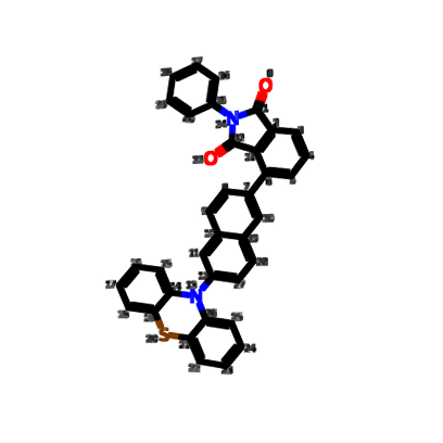 O=C1c2cccc(-c3ccc4cc(N5c6ccccc6Sc6ccccc65)ccc4c3)c2C(=O)N1c1ccccc1